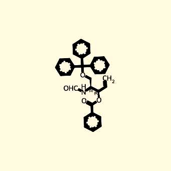 C=C[C@@H](OC(=O)c1ccccc1)[C@H](COC(c1ccccc1)(c1ccccc1)c1ccccc1)NC=O